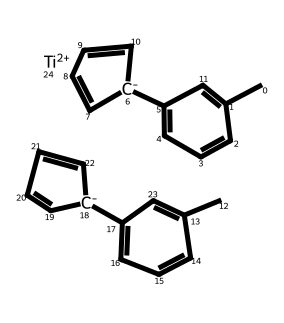 Cc1cccc(-[c-]2cccc2)c1.Cc1cccc(-[c-]2cccc2)c1.[Ti+2]